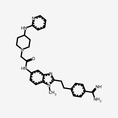 Cn1c(CCc2ccc(C(=N)N)cc2)nc2cc(NC(=O)CN3CCC(Nc4ccccn4)CC3)ccc21